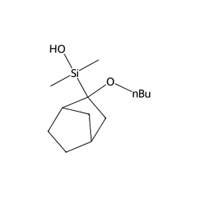 CCCCOC1([Si](C)(C)O)CC2CCC1C2